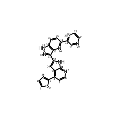 c1csc(-c2ccnc3[nH]c(-c4n[nH]c5ccc(-c6cnccn6)nc45)cc23)c1